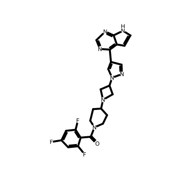 O=C(c1c(F)cc(F)cc1F)N1CCC(N2CC(n3cc(-c4ncnc5[nH]ccc45)cn3)C2)CC1